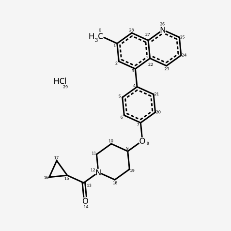 Cc1cc(-c2ccc(OC3CCN(C(=O)C4CC4)CC3)cc2)c2cccnc2c1.Cl